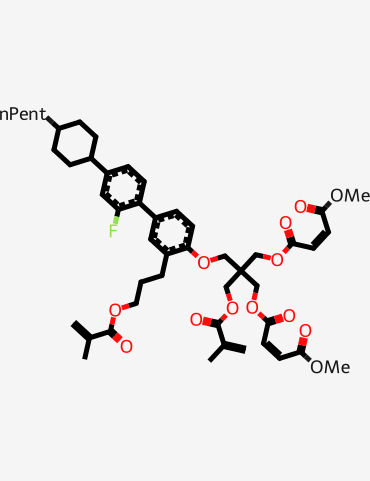 C=C(C)C(=O)OCCCc1cc(-c2ccc(C3CCC(CCCCC)CC3)cc2F)ccc1OCC(COC(=O)/C=C\C(=O)OC)(COC(=O)/C=C\C(=O)OC)COC(=O)C(=C)C